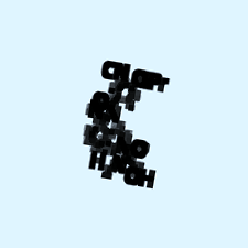 CC(C)Oc1ccc(-c2nc(-c3cccc4c3CCN(C(=O)[C@H](N)CO)C4)no2)cc1C#N